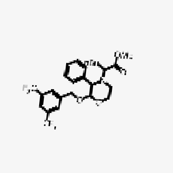 CCCCC(C(=O)OC)N1CCOC(OCc2cc(C(F)(F)F)cc(C(F)(F)F)c2)C1c1ccccc1